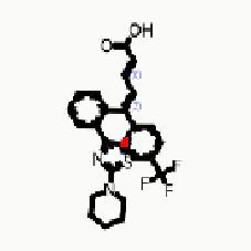 O=C(O)/C=C/C=C(/c1ccc(C(F)(F)F)cc1)c1ccccc1-c1csc(N2CCCCC2)n1